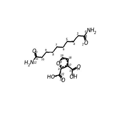 NC(=O)CCCCCCCCC(N)=O.O=C(O)c1ccoc1C(=O)O